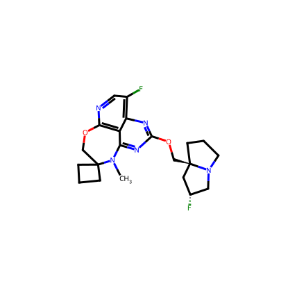 CN1c2nc(OC[C@@]34CCCN3C[C@H](F)C4)nc3c(F)cnc(c23)OCC12CCC2